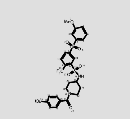 COc1cccc(S(=O)(=O)c2ccc(C(F)(F)F)c(S(=O)(=O)NC3CCN(C(=O)c4ccc(C(C)(C)C)cc4)CC3)c2)c1